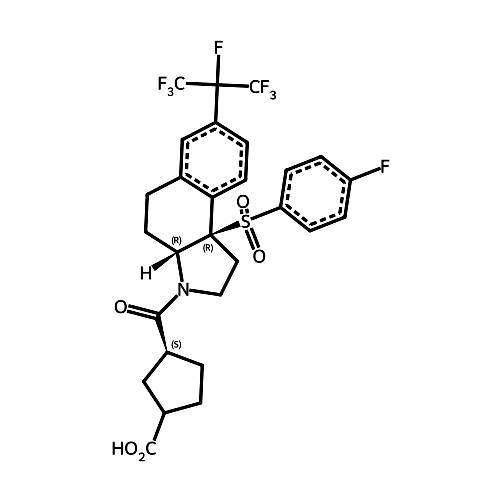 O=C(O)C1CC[C@H](C(=O)N2CC[C@@]3(S(=O)(=O)c4ccc(F)cc4)c4ccc(C(F)(C(F)(F)F)C(F)(F)F)cc4CC[C@@H]23)C1